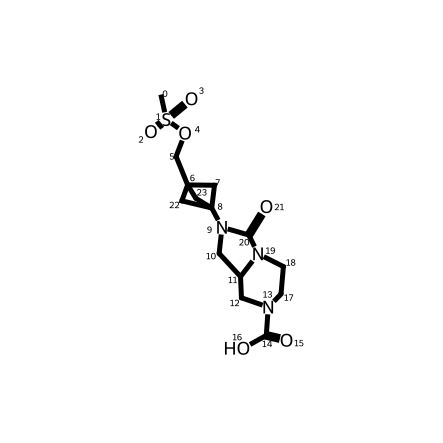 CS(=O)(=O)OCC12CC(N3CC4CN(C(=O)O)CCN4C3=O)(C1)C2